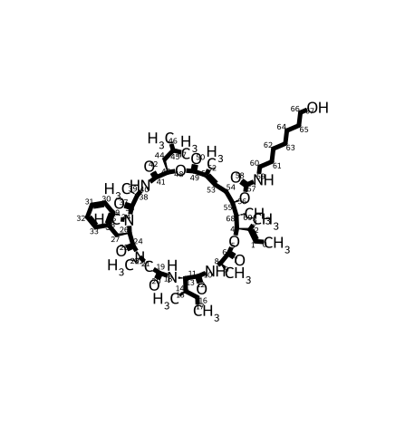 C/C=C(\C)[C@H]1OC(=O)[C@@H](C)NC(=O)[C@H]([C@H](C)CC)NC(=O)CN(C)C(=O)[C@@H](Cc2ccccc2)N(C)C(=O)[C@H](C)NC(=O)[C@@H](CC(C)C)OC(=O)/C(C)=C/C[C@H](OC(=O)NCCCCCCCO)[C@@H]1C